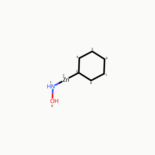 O[NH][Zn][CH]1CCCCC1